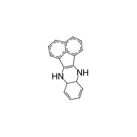 C1=CC2NC3=C(NC2C=C1)c1cccc2cccc3c12